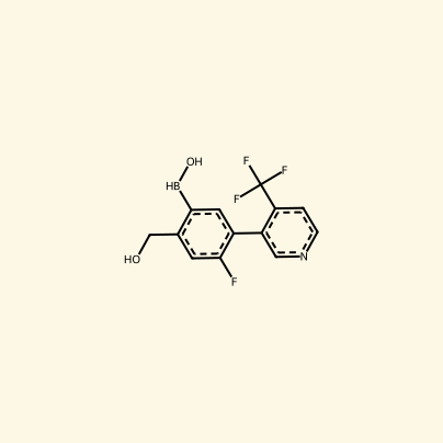 OBc1cc(-c2cnccc2C(F)(F)F)c(F)cc1CO